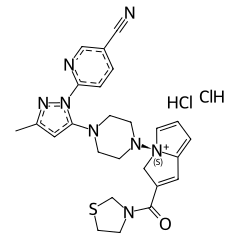 Cc1cc(N2CCN([N@@+]34C=CC=C3C=C(C(=O)N3CCSC3)C4)CC2)n(-c2ccc(C#N)cn2)n1.Cl.Cl